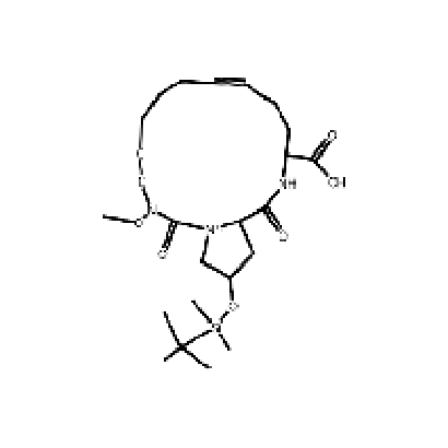 CON1CCCCCC=CCCC(C(=O)O)NC(=O)C2CC(O[Si](C)(C)C(C)(C)C)C[N+]2C1=O